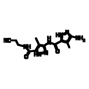 Cc1c(N)n[nH]c1C(=O)Nc1n[nH]c(C(=O)NCCC#N)c1C